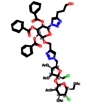 CC(=O)OC[C@H]1O[C@H](O[C@]2(CCl)O[C@H](Cn3cc(CO[C@@H]4O[C@H](n5cc(CCCO)nn5)[C@@H](OC(=O)c5ccccc5)[C@H](OC(=O)c5ccccc5)[C@H]4OC(=O)c4ccccc4)nn3)[C@@H](OC(C)=O)[C@@H]2OC(C)=O)[C@H](OC(C)=O)[C@@H](OC(C)=O)[C@H]1Cl